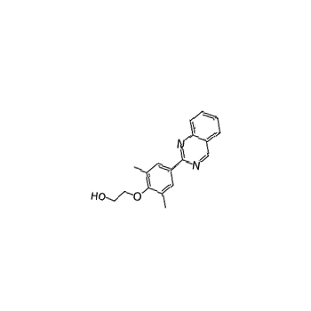 Cc1cc(-c2ncc3ccccc3n2)cc(C)c1OCCO